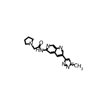 Cn1cc(-c2cnc3cnc(NC(=O)CN4CCCC4)cc3c2)nn1